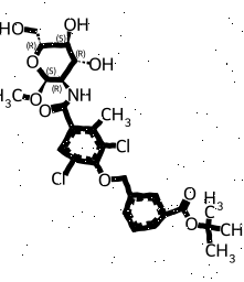 CO[C@H]1O[C@H](CO)[C@@H](O)[C@H](O)[C@H]1NC(=O)c1cc(Cl)c(OCc2cccc(C(=O)OC(C)(C)C)c2)c(Cl)c1C